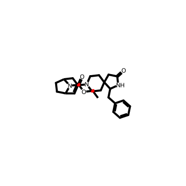 CCOC(=O)N1C2C=C(N3CCC4(CC3)CC(=O)NC4Cc3ccccc3)CC1CC2